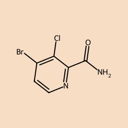 NC(=O)c1nccc(Br)c1Cl